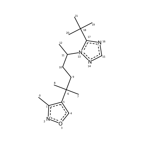 Cc1nocc1C(C)(C)CCC(C)n1ncnc1C(C)(C)C